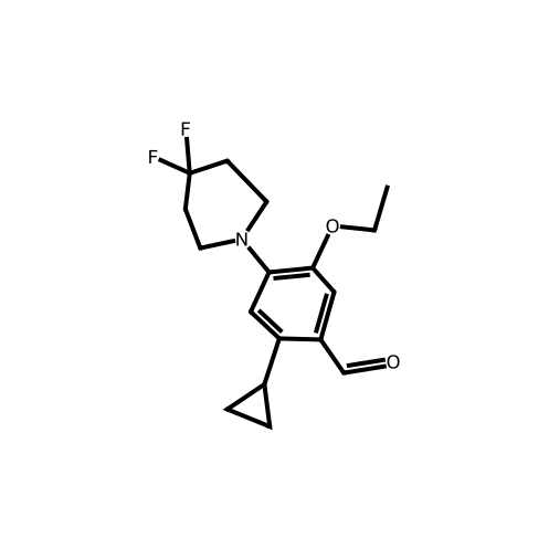 CCOc1cc(C=O)c(C2CC2)cc1N1CCC(F)(F)CC1